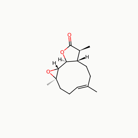 C/C1=C\CC[C@@]2(C)O[C@@H]2[C@H]2OC(=O)[C@@H](C)[C@@H]2CC1